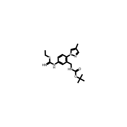 CCSC(=N)Nc1ccc(-n2cc(C)cn2)c(CNC(=O)OC(C)(C)C)c1